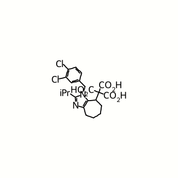 CC(C)c1nc2c(n1Cc1ccc(Cl)c(Cl)c1)C(C(C(=O)O)(C(=O)O)C(=O)O)CCCC2